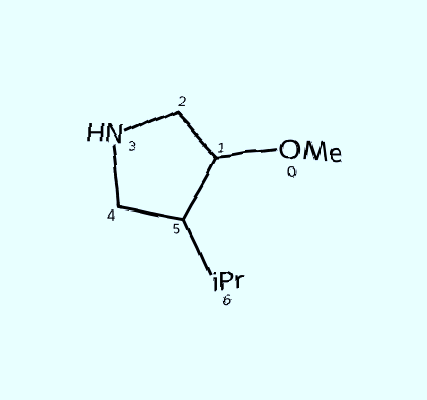 COC1CNCC1C(C)C